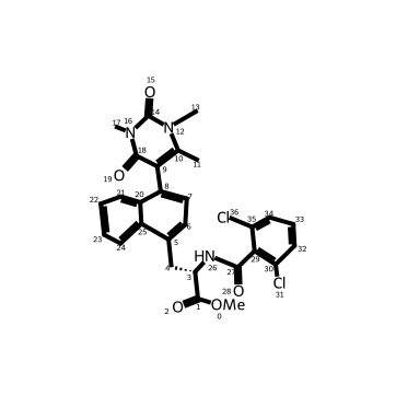 COC(=O)[C@H](Cc1ccc(-c2c(C)n(C)c(=O)n(C)c2=O)c2ccccc12)NC(=O)c1c(Cl)cccc1Cl